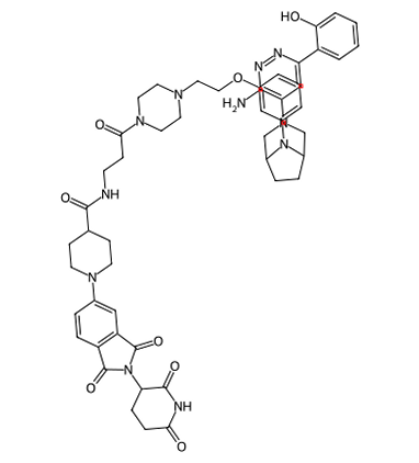 Nc1nnc(-c2ccccc2O)cc1N1CC2CCC(C1)N2c1cccc(OCCN2CCN(C(=O)CCNC(=O)C3CCN(c4ccc5c(c4)C(=O)N(C4CCC(=O)NC4=O)C5=O)CC3)CC2)c1